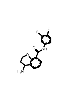 NC1CCOc2c(C(=O)Nc3ccc(F)c(F)c3)cccc21